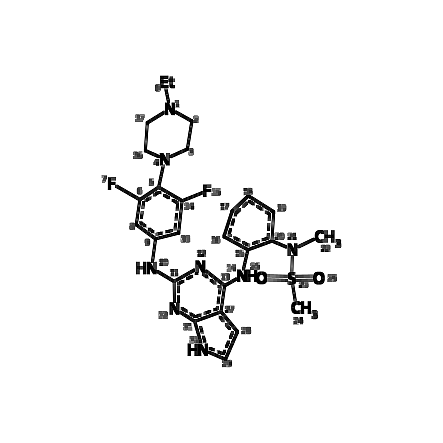 CCN1CCN(c2c(F)cc(Nc3nc(Nc4ccccc4N(C)S(C)(=O)=O)c4cc[nH]c4n3)cc2F)CC1